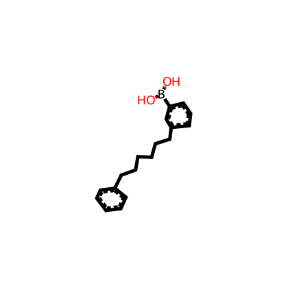 OB(O)c1cccc(CCCCCCc2ccccc2)c1